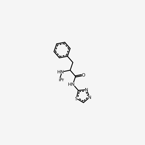 CC(C)NC(Cc1ccccc1)C(=O)Nc1nncs1